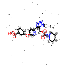 Cn1nnc(-c2ccc(O[C@H]3CCC[C@H](C(=O)O)C3)cn2)c1COC(=O)N1CCCCC1